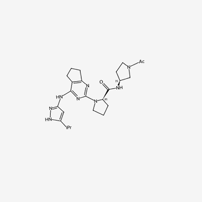 CC(=O)N1CC[C@H](NC(=O)[C@H]2CCCN2c2nc3c(c(Nc4cc(C(C)C)[nH]n4)n2)CCC3)C1